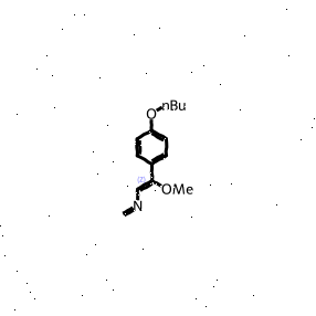 C=N/C=C(\OC)c1ccc(OCCCC)cc1